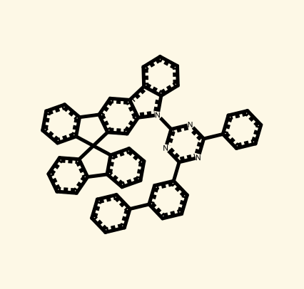 c1ccc(-c2cccc(-c3nc(-c4ccccc4)nc(-n4c5ccccc5c5cc6c(cc54)C4(c5ccccc5-c5ccccc54)c4ccccc4-6)n3)c2)cc1